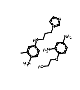 Cc1cc(NCCCn2ccnc2)ccc1N.Nc1ccc(OCCO)c(N)c1